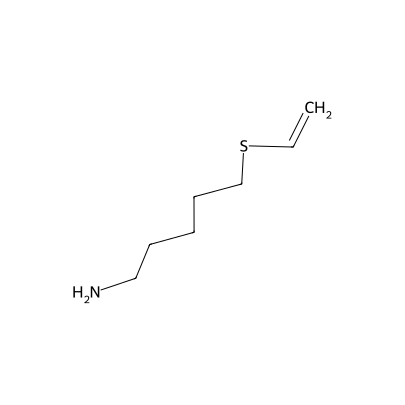 C=CSCCCCCN